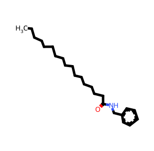 CCCCCCCCCCCCCCCCC(=O)NCc1ccccc1